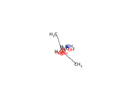 CCCCCCCCCCCCCCCCCC(=O)C(C)(C(=O)CCCCCCCCCCCCCCCCC)P(=O)(O)O.C[N+](C)(C)CCO